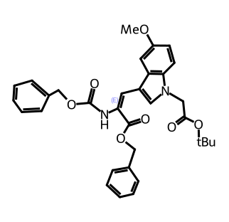 COc1ccc2c(c1)c(/C=C(/NC(=O)OCc1ccccc1)C(=O)OCc1ccccc1)cn2CC(=O)OC(C)(C)C